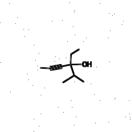 CC#CC(O)(CC)C(C)C